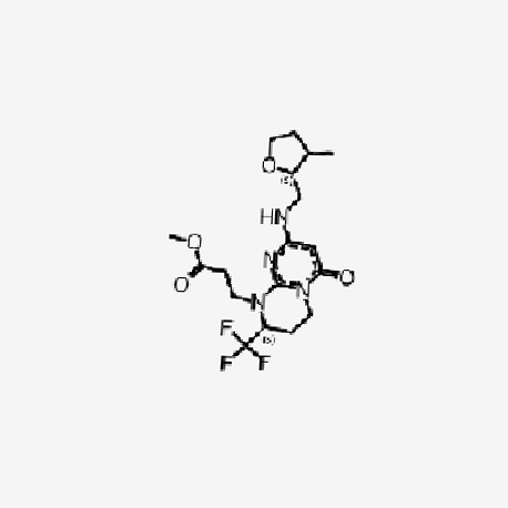 COC(=O)CCN1c2nc(NC[C@H]3OCCC3C)cc(=O)n2CC[C@H]1C(F)(F)F